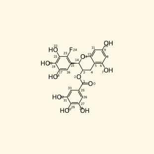 O=C(OC1Cc2c(O)cc(O)cc2O[C@@H]1c1cc(O)c(O)c(O)c1F)c1cc(O)c(O)c(O)c1